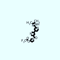 Cc1nc(-c2cc(-c3cncc(C(=O)N4CC[C@@H](OC(=O)C(F)(F)F)C4)c3)ccn2)[nH]c1C